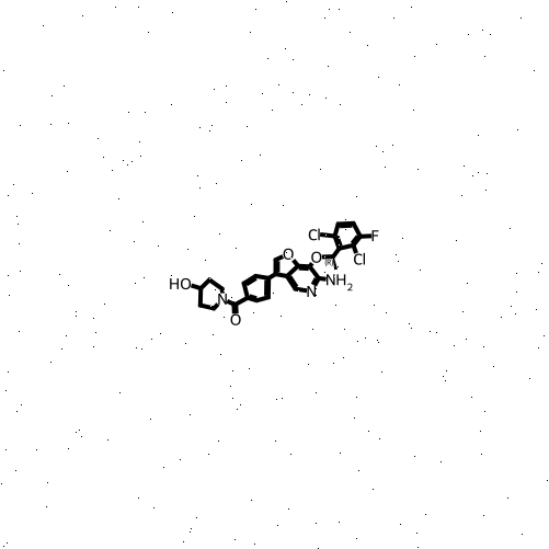 C[C@@H](Oc1c(N)ncc2c(-c3ccc(C(=O)N4CCC(O)CC4)cc3)coc12)c1c(Cl)ccc(F)c1Cl